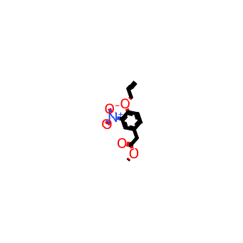 C=CCOc1ccc(CC(=O)OC)cc1[N+](=O)[O-]